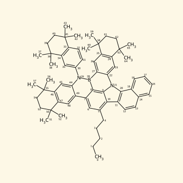 CCCCCc1cc2c3c4c1c1ccc5ccccc5c1n4-c1cc4c(cc1B3N(c1ccc3c(c1)C(C)(C)CCC3(C)C)c1cc3c(cc1-2)C(C)(C)CCC3(C)C)C(C)(C)CCC4(C)C